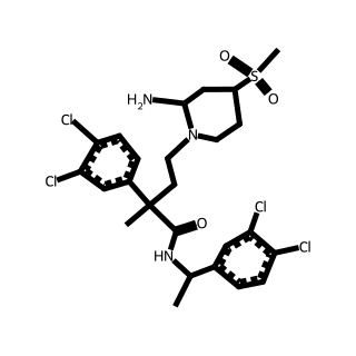 CC(NC(=O)C(C)(CCN1CCC(S(C)(=O)=O)CC1N)c1ccc(Cl)c(Cl)c1)c1ccc(Cl)c(Cl)c1